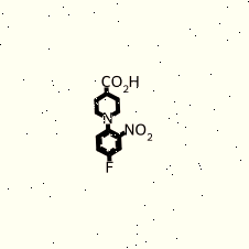 O=C(O)C1CCN(c2ccc(F)cc2[N+](=O)[O-])CC1